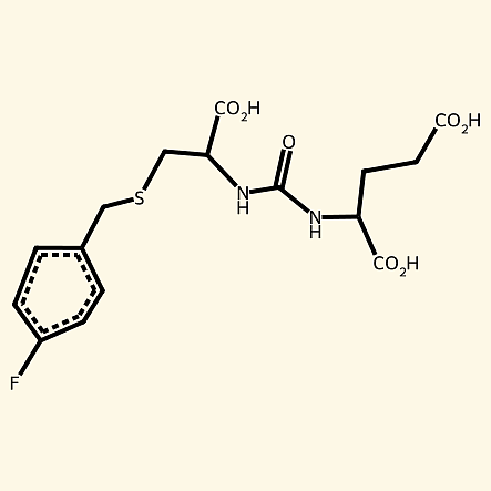 O=C(O)CCC(NC(=O)NC(CSCc1ccc(F)cc1)C(=O)O)C(=O)O